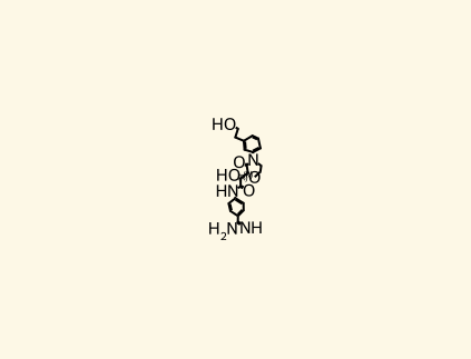 N=C(N)c1ccc(NC(=O)[C@H](O)[C@H]2OCCN(c3cccc(CCO)c3)C2=O)cc1